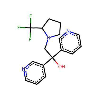 OC(CN1CCCC1C(F)(F)F)(c1cccnc1)c1cccnc1